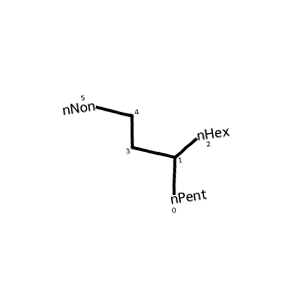 [CH2]CCCCC(CCCCCC)CCCCCCCCCCC